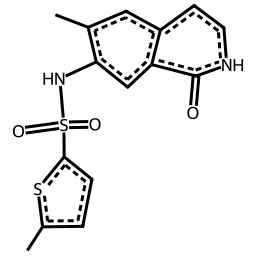 Cc1ccc(S(=O)(=O)Nc2cc3c(=O)[nH]ccc3cc2C)s1